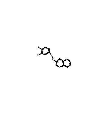 Fc1ccc(COc2cnc3cccnc3c2)cc1Cl